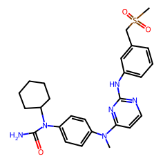 CN(c1ccc(N(C(N)=O)C2CCCCC2)cc1)c1ccnc(Nc2cccc(CS(C)(=O)=O)c2)n1